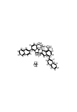 CC1=Cc2c(-c3ccc4ccccc4c3)ccc(C)c2[CH]1[Zr+2]1([CH]2C(C)=Cc3c(-c4ccc5ccccc5c4)ccc(C)c32)[CH2][CH2]1.[Cl-].[Cl-]